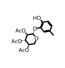 CC(=O)O[C@@H]1[C@@H](OC(C)=O)[C@H](Oc2cc(C)ccc2O)OC[C@H]1OC(C)=O